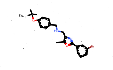 CCOC(=O)C(C)(C)Oc1ccc(CNCc2nc(-c3cccc(Br)c3)oc2C)cc1